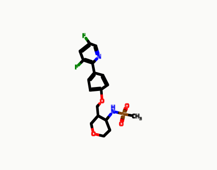 CS(=O)(=O)NC1CCOCC1COc1ccc(-c2ncc(F)cc2F)cc1